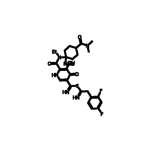 CCN(C(=O)c1[nH]cc(C(=N)SC(=N)Cc2ccc(F)cc2F)c(=O)c1O)C1(NC)CCC(C(=O)N(C)C)CC1